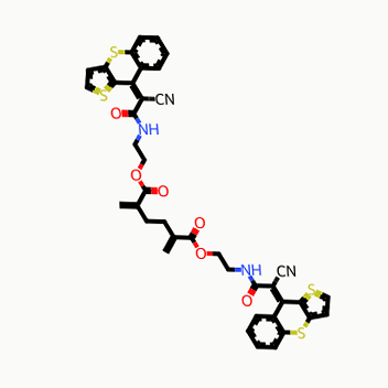 C=C(CCC(=C)C(=O)OCCNC(=O)/C(C#N)=C1\c2ccccc2Sc2ccsc21)C(=O)OCCNC(=O)/C(C#N)=C1/c2ccccc2Sc2ccsc21